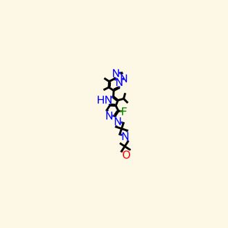 Cc1c(-c2[nH]c3cnc(N4CC5(CN(CC6(C)COC6)C5)C4)c(F)c3c2C(C)C)cn2ncnc2c1C